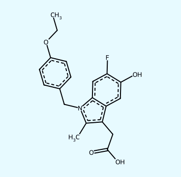 CCOc1ccc(Cn2c(C)c(CC(=O)O)c3cc(O)c(F)cc32)cc1